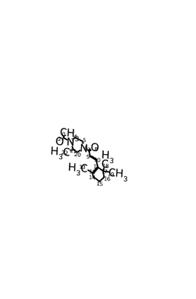 CC(=O)N1CCN(C(=O)/C=C/C2=C(C)CCCC2(C)C)C[C@H]1C